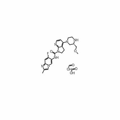 COC[C@H]1CN(c2ccnc3c2CCN3C(=O)Nc2cn3cc(C)nc3cc2F)CCN1.O=CO.O=CO